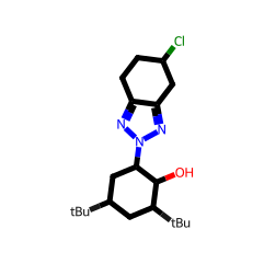 CC(C)(C)C1CC(n2nc3c(n2)CC(Cl)CC3)C(O)C(C(C)(C)C)C1